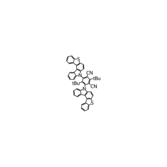 CC(C)(C)c1c(C#N)c(-n2c3ccccc3c3c4c(ccc32)sc2ccccc24)c(C(C)(C)C)c(-n2c3ccccc3c3c4c(ccc32)sc2ccccc24)c1C#N